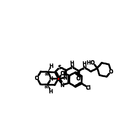 O=C(NCC1(O)CCOCC1)Nc1nc2c(s1)[C@@H]1COC[C@H](C2)N1c1nc2cc(Cl)ccc2o1